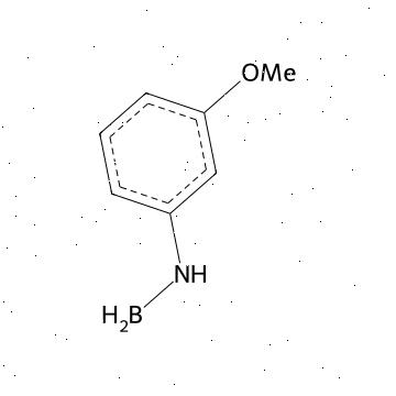 BNc1cccc(OC)c1